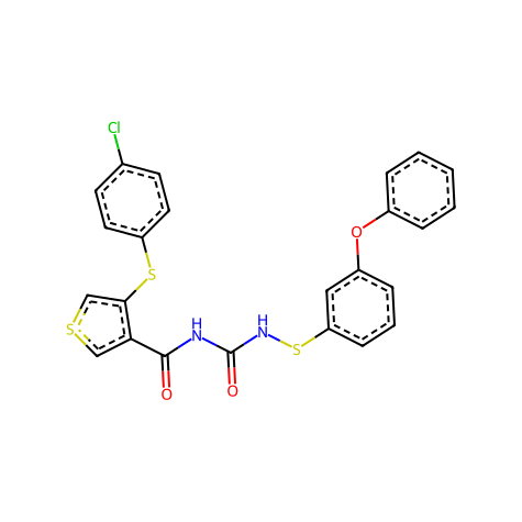 O=C(NSc1cccc(Oc2ccccc2)c1)NC(=O)c1cscc1Sc1ccc(Cl)cc1